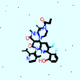 C=CC(=O)N1CCN(c2c(C(=O)NC)c(=O)n(-c3c(C)ccnc3C(C)C)c3nc(-c4c(O)cccc4F)c(F)cc23)C[C@H]1C